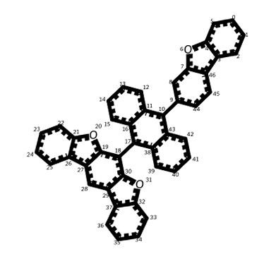 c1ccc2c(c1)oc1cc(-c3c4ccccc4c(-c4c5oc6ccccc6c5cc5c4oc4ccccc45)c4ccccc34)ccc12